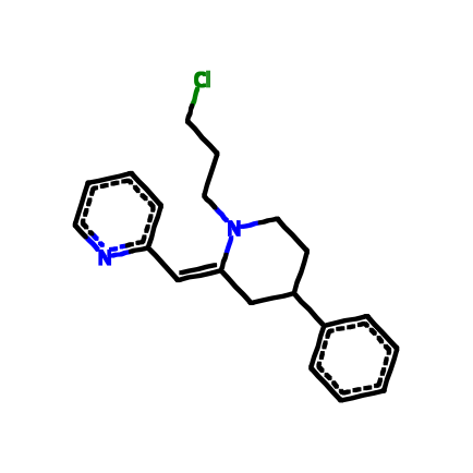 ClCCCN1CCC(c2ccccc2)CC1=Cc1ccccn1